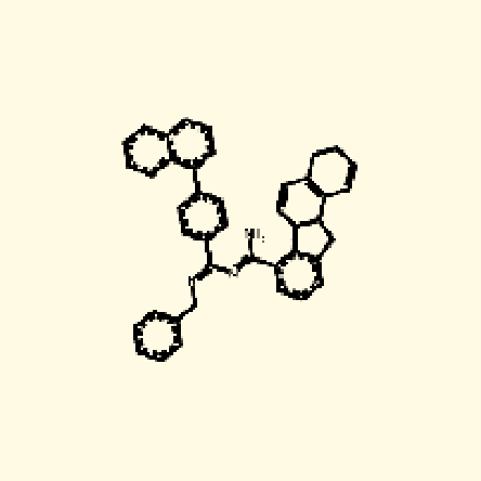 N/C(=N\C(=N/Cc1ccccc1)c1ccc(-c2cccc3ccccc23)cc1)c1cccc2c1C1C=CC3=C(C=CCC3)C1C2